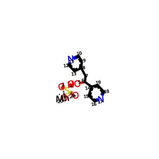 O=S(=O)([O-])[O-].OC(Cc1ccncc1)c1ccncc1.[Mn+2]